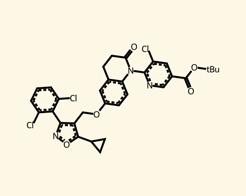 CC(C)(C)OC(=O)c1cnc(N2C(=O)CCc3cc(OCc4c(-c5c(Cl)cccc5Cl)noc4C4CC4)ccc32)c(Cl)c1